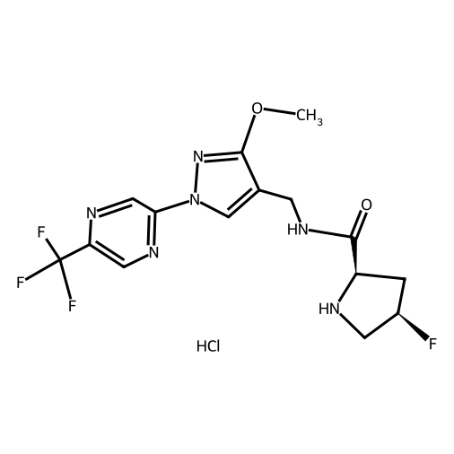 COc1nn(-c2cnc(C(F)(F)F)cn2)cc1CNC(=O)[C@H]1C[C@@H](F)CN1.Cl